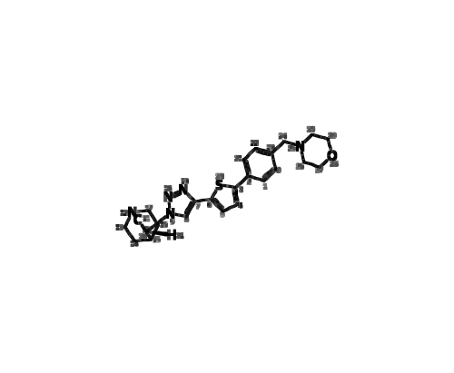 c1cc(-c2ccc(-c3cn([C@H]4CN5CCC4CC5)nn3)s2)ccc1CN1CCOCC1